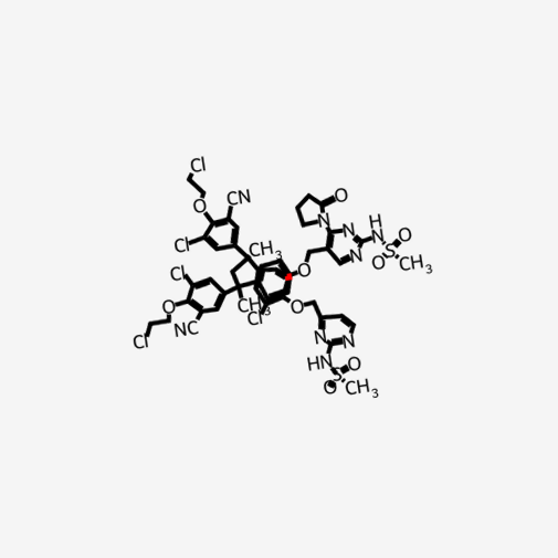 CC(CC(C)(c1ccc(OCc2ccnc(NS(C)(=O)=O)n2)c(Cl)c1)c1cc(Cl)c(OCCCl)c(C#N)c1)(c1ccc(OCc2cnc(NS(C)(=O)=O)nc2N2CCCC2=O)cc1)c1cc(Cl)c(OCCCl)c(C#N)c1